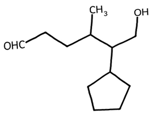 CC(CCC=O)C(CO)C1CCCC1